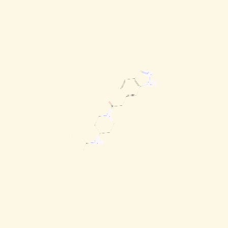 CC(C)NC1CCN(C(=O)Cc2ccc3cn[nH]c3c2)CC1